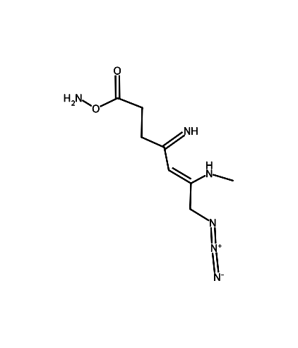 CN/C(=C\C(=N)CCC(=O)ON)CN=[N+]=[N-]